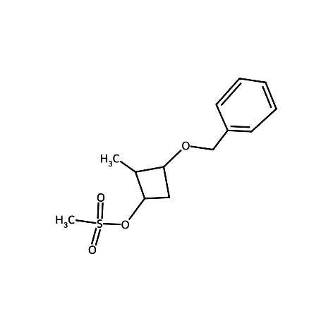 CC1C(OCc2ccccc2)CC1OS(C)(=O)=O